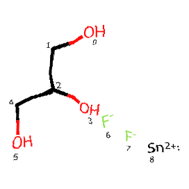 OCC(O)CO.[F-].[F-].[Sn+2]